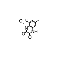 Cc1cc2c(c([N+](=O)[O-])c1)[N]C(=O)C(=O)N2